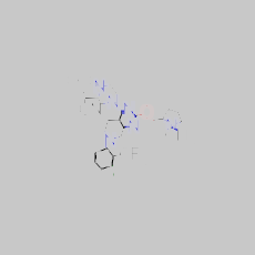 CN1CCCC1COc1nc2c(c(N3CCN(C(=O)O)C(CC#N)C3)n1)CCN(c1cccc(Cl)c1C(F)(F)F)C2